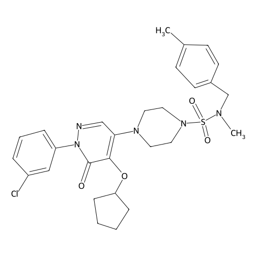 Cc1ccc(CN(C)S(=O)(=O)N2CCN(c3cnn(-c4cccc(Cl)c4)c(=O)c3OC3CCCC3)CC2)cc1